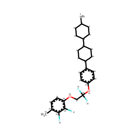 CCCC1CCC(C2CCC(c3ccc(OC(F)(F)COc4ccc(C)c(F)c4F)cc3)CC2)CC1